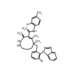 C=C1NNCCCC(C)(Cc2cccc(F)c2-n2nnc3ccccc32)/C(C)=C\1C(=C)Nc1ccc(C)cc1F